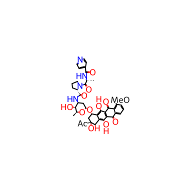 COc1cccc2c1C(=O)c1c(O)c3c(c(O)c1C2=O)C[C@@](O)(C(C)=O)C[C@@H]3O[C@H]1C[C@H](NC(=O)[C@@H]2CCCN2C(=O)[C@@H](C)NC(=O)c2ccncc2)[C@H](O)[C@H](C)O1